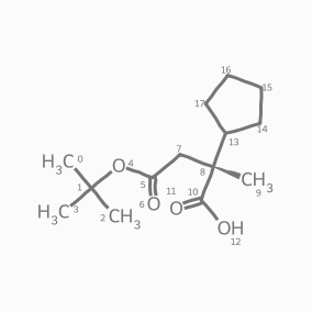 CC(C)(C)OC(=O)C[C@@](C)(C(=O)O)C1CCCC1